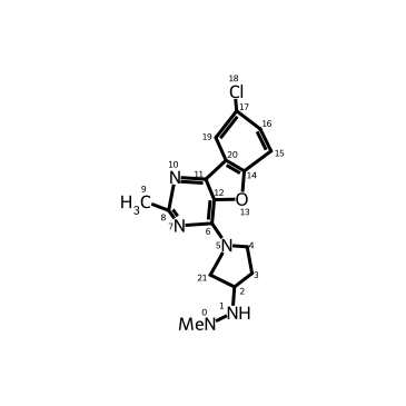 CNNC1CCN(c2nc(C)nc3c2oc2ccc(Cl)cc23)C1